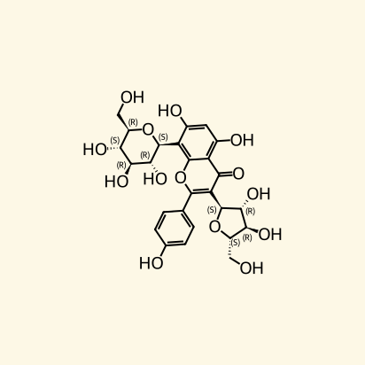 O=c1c([C@@H]2O[C@@H](CO)[C@H](O)[C@H]2O)c(-c2ccc(O)cc2)oc2c([C@@H]3O[C@H](CO)[C@@H](O)[C@H](O)[C@H]3O)c(O)cc(O)c12